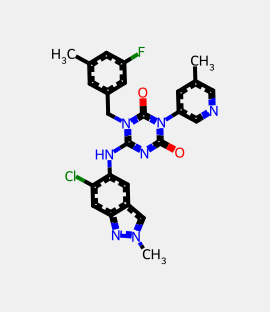 Cc1cc(F)cc(Cn2c(Nc3cc4cn(C)nc4cc3Cl)nc(=O)n(-c3cncc(C)c3)c2=O)c1